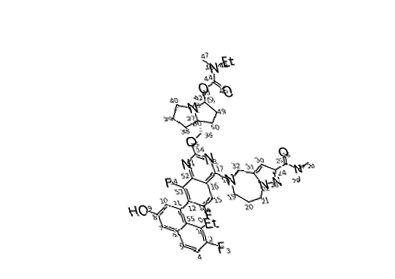 CCc1c(F)ccc2cc(O)cc(-c3c(F)cc4c(N5CCCn6nc(C(=O)N(C)C)cc6C5)nc(OC[C@]56CCCN5[C@@H](OC(=O)N(C)CC)CC6)nc4c3F)c12